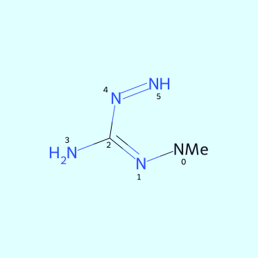 CN/N=C(/N)N=N